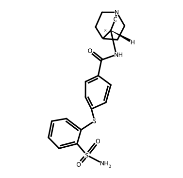 NS(=O)(=O)c1ccccc1Sc1ccc(C(=O)N[C@H]2CN3CCC2CC3)cc1